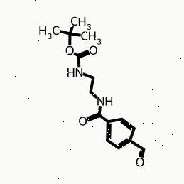 CC(C)(C)OC(=O)NCCNC(=O)c1ccc(C=O)cc1